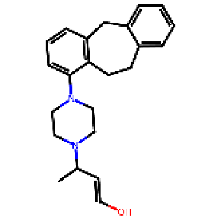 CC(C=CO)N1CCN(c2cccc3c2CCc2ccccc2C3)CC1